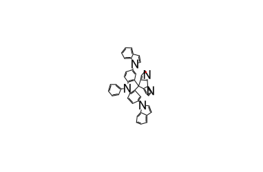 c1ccc(N2c3ccc(-n4ccc5ccccc54)cc3C3(c4cc(-n5ccc6ccccc65)ccc42)c2cccnc2-c2ncccc23)cc1